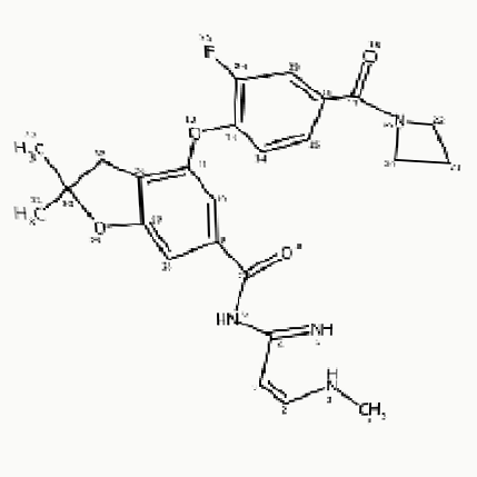 CN/C=C\C(=N)NC(=O)c1cc(Oc2ccc(C(=O)N3CCC3)cc2F)c2c(c1)OC(C)(C)C2